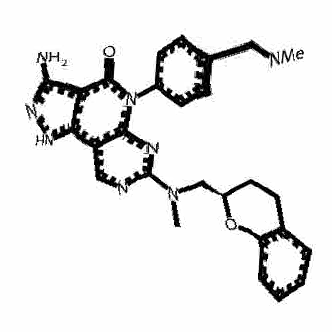 CNCc1ccc(-n2c(=O)c3c(N)n[nH]c3c3cnc(N(C)C[C@H]4CCc5ccccc5O4)nc32)cc1